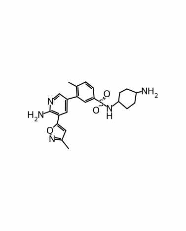 Cc1cc(-c2cc(-c3cc(S(=O)(=O)NC4CCC(N)CC4)ccc3C)cnc2N)on1